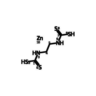 S=C(S)NCCNC(=S)S.[Zn]